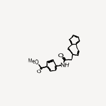 COC(=O)c1ccc(NC(=O)Cc2ccc3ccccc3c2)cc1